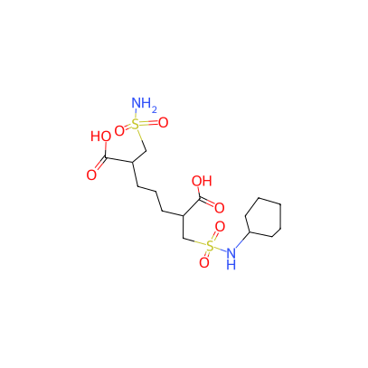 NS(=O)(=O)CC(CCCC(CS(=O)(=O)NC1CCCCC1)C(=O)O)C(=O)O